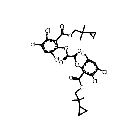 CC(C)(COC(=O)c1c(Cl)c(Cl)cc(Cl)c1OC(=O)C(=O)Oc1c(Cl)cc(Cl)c(Cl)c1C(=O)OCC(C)(C)C1CC1)C1CC1